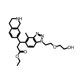 CCOC(=O)CC(c1ccc2c(c1)CNCC2)c1ccc2c(nnn2CCOCCO)c1C